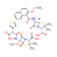 CCOc1ccc2ccccc2c1C(=O)N[C@@H]1C(=O)N2[C@@H]1SC(C)(C)[C@@H]2C(=O)O.CO[C@@]1(NC(=O)C(C(=O)O)c2ccsc2)C(=O)N2[C@@H](C(=O)O)C(C)(C)S[C@@H]21